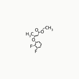 CCOC(=O)C=C(C)Oc1cccc(F)c1F